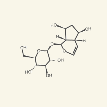 OC[C@H]1O[C@@H](O[C@@H]2OC=C[C@@H]3[C@H]2[C@@H](O)C[C@H]3O)[C@H](O)[C@@H](O)[C@@H]1O